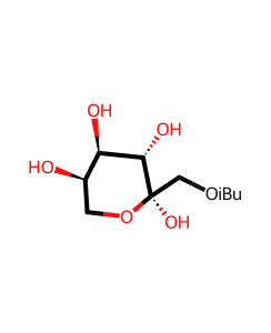 CC(C)COC[C@@]1(O)OC[C@@H](O)[C@@H](O)[C@@H]1O